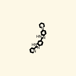 c1ccc(-c2nc3ccc(-c4nc5ccc(N6CCCCC6)cc5[nH]4)cc3[nH]2)nc1